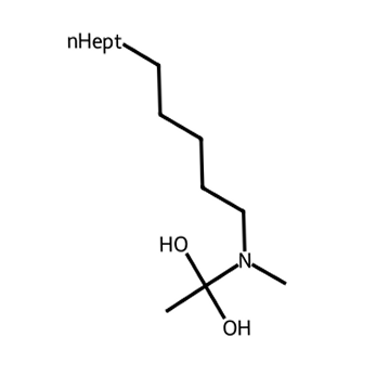 CCCCCCCCCCCCN(C)C(C)(O)O